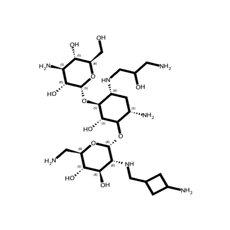 NCC(O)CN[C@@H]1C[C@H](N)C(O[C@H]2O[C@H](CN)[C@@H](O)[C@H](O)[C@H]2NCC2CC(N)C2)[C@H](O)[C@H]1O[C@H]1O[C@H](CO)[C@@H](O)[C@H](N)[C@H]1O